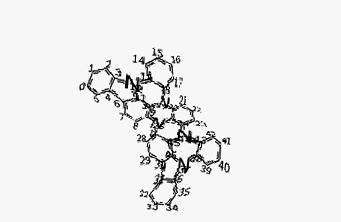 c1ccc2c(c1)c1ccc3c4c1n2c1ccccc1n4c1cccc2c1-n3c1ccc3c4ccccc4n4c5ccccc5n2c1c34